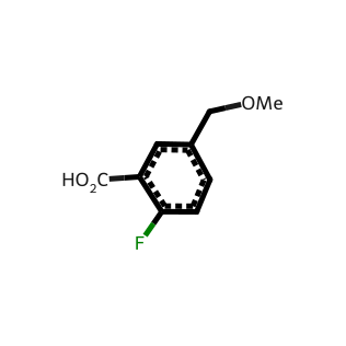 COCc1ccc(F)c(C(=O)O)c1